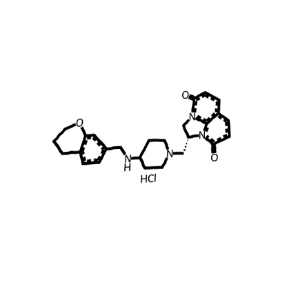 Cl.O=c1ccc2ccc(=O)n3c2n1C[C@H]3CN1CCC(NCc2ccc3c(c2)OCCC3)CC1